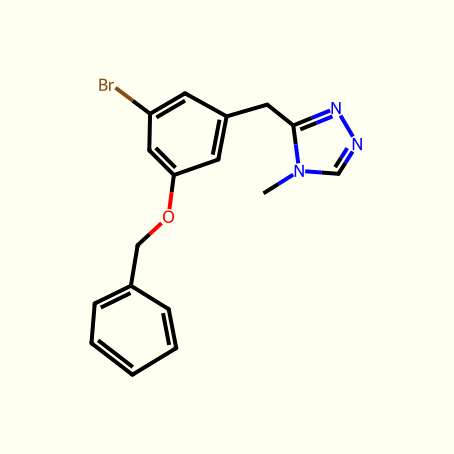 Cn1cnnc1Cc1cc(Br)cc(OCc2ccccc2)c1